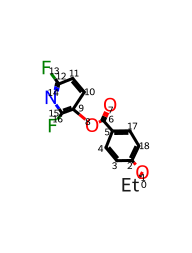 CCOc1ccc(C(=O)Oc2ccc(F)nc2F)cc1